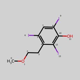 COCCc1c(I)cc(I)c(O)c1I